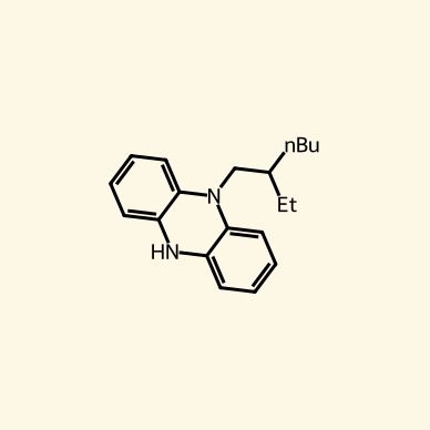 CCCCC(CC)CN1c2ccccc2Nc2ccccc21